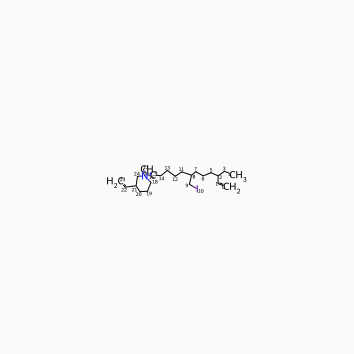 C=CC(CC)CCCC(CI)CCCCC[N+]1(C)CCCC(C=C)C1